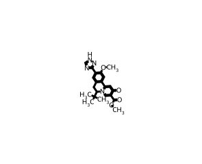 COC(=O)c1cn2c(cc1=O)-c1cc(OC)c(-c3nc[nH]n3)cc1CC2C(C)(C)C